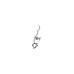 [CH2]CCCCNCc1cccs1